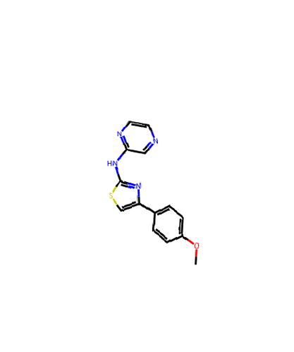 COc1ccc(-c2csc(Nc3cnccn3)n2)cc1